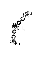 Cc1c(-c2ccc(C3=CCN(C(=O)OC(C)(C)C)CC3)cc2)nnn1-c1ccc(C2=CCN(C(=O)OC(C)(C)C)CC2)cc1